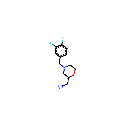 NC[C@H]1CN(Cc2ccc(F)c(F)c2)CCO1